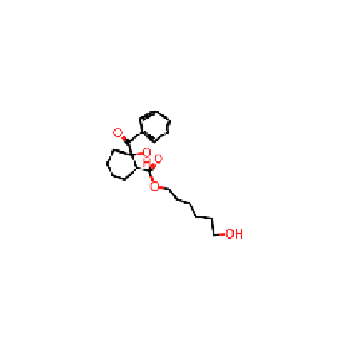 O=C(OCCCCCCO)C1CCCCC1(O)C(=O)c1ccccc1